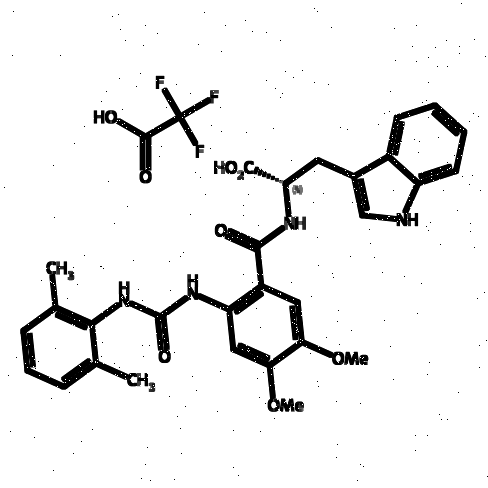 COc1cc(NC(=O)Nc2c(C)cccc2C)c(C(=O)N[C@@H](Cc2c[nH]c3ccccc23)C(=O)O)cc1OC.O=C(O)C(F)(F)F